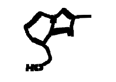 Cc1cn2cccc(CO)c2n1